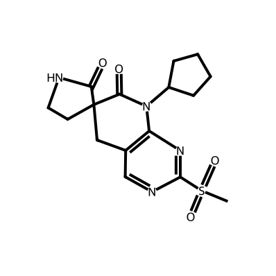 CS(=O)(=O)c1ncc2c(n1)N(C1CCCC1)C(=O)C1(CCNC1=O)C2